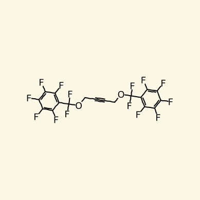 Fc1c(F)c(F)c(C(F)(F)OCC#CCOC(F)(F)c2c(F)c(F)c(F)c(F)c2F)c(F)c1F